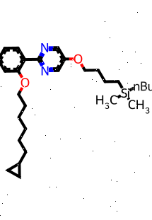 CCCC[Si](C)(C)CCCCOc1cnc(-c2ccccc2OCCCCCCC2CC2)nc1